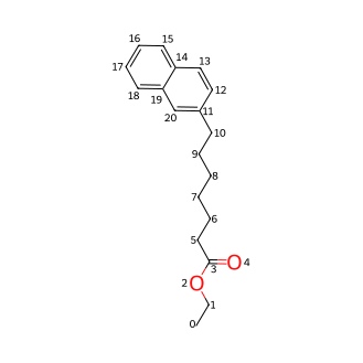 CCOC(=O)CCCCCCc1ccc2ccccc2c1